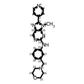 Cn1c(-c2ccncc2)nc2cnc(Nc3cccc(CN4CCOCC4)c3)nc21